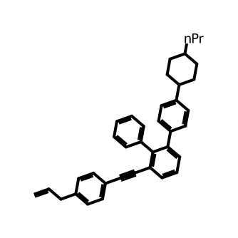 C=CCc1ccc(C#Cc2cccc(-c3ccc(C4CCC(CCC)CC4)cc3)c2-c2ccccc2)cc1